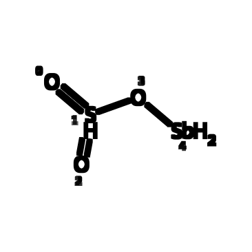 O=[SH](=O)[O][SbH2]